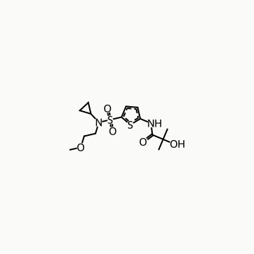 COCCN(C1CC1)S(=O)(=O)c1ccc(NC(=O)C(C)(C)O)s1